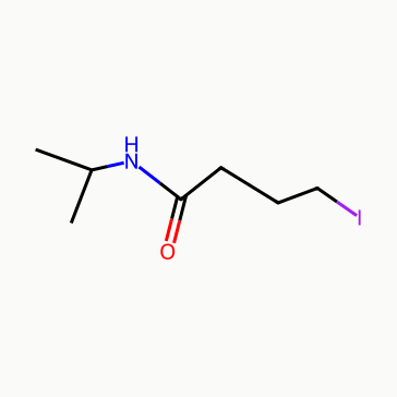 CC(C)NC(=O)CCCI